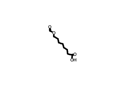 O=COCCCCCCCC(=O)O